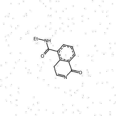 CCNC(=O)c1cccc2c1CC=NC2=O